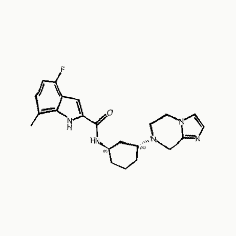 Cc1ccc(F)c2cc(C(=O)N[C@@H]3CCC[C@@H](N4CCn5ccnc5C4)C3)[nH]c12